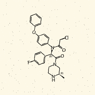 C[C@@H]1CN(C(=O)[C@@H](c2ccc(F)cc2)N(C(=O)CCl)c2ccc(Oc3ccccc3)cc2)CCN1